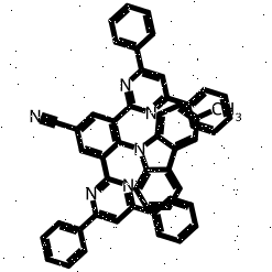 Cc1ccc2c(c1)c1ccccc1n2-c1c(-c2nc(-c3ccccc3)cc(-c3ccccc3)n2)cc(C#N)cc1-c1nc(-c2ccccc2)cc(-c2ccccc2)n1